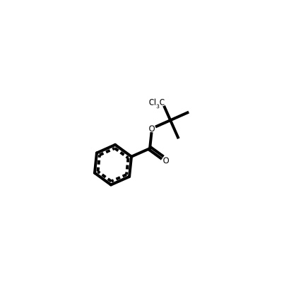 CC(C)(OC(=O)c1ccccc1)C(Cl)(Cl)Cl